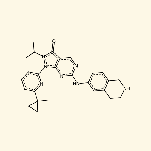 CC(C)n1c(=O)c2cnc(Nc3ccc4c(c3)CCNC4)nc2n1-c1cccc(C2(C)CC2)n1